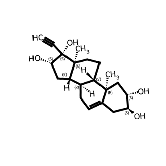 C#C[C@]1(O)[C@@H](O)C[C@H]2[C@@H]3CC=C4C[C@H](O)[C@@H](O)C[C@]4(C)[C@H]3CC[C@@]21C